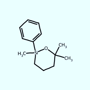 CC1(C)CCC[Si](C)(c2ccccc2)O1